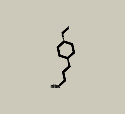 CCCCCCCCC[C@H]1CC[C@H](CI)CC1